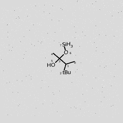 CC(C(C)(C)C)C(C)(O)O[SiH3]